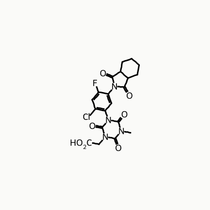 Cn1c(=O)n(CC(=O)O)c(=O)n(-c2cc(N3C(=O)C4CCCCC4C3=O)c(F)cc2Cl)c1=O